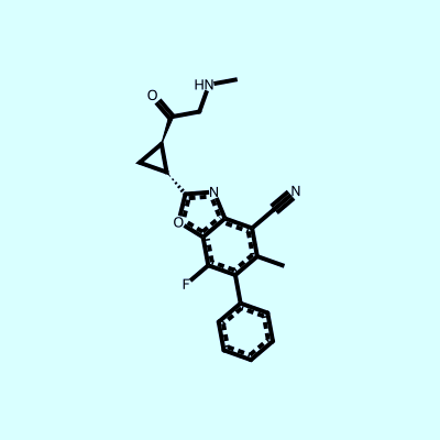 CNCC(=O)[C@@H]1C[C@H]1c1nc2c(C#N)c(C)c(-c3ccccc3)c(F)c2o1